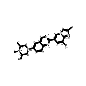 Cc1cn2cc(-c3ncc4cc(N5CC(C)N(C)C(C)C5)ccc4n3)cc(F)c2n1